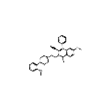 COc1ccc2c(=O)n(CCN3CCN(c4ccccc4OC)CC3)c(C#N)c(-c3ccccc3)c2c1